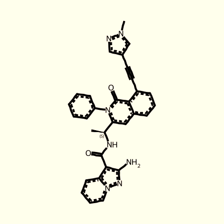 C[C@H](NC(=O)c1c(N)nn2ccccc12)c1cc2cccc(C#Cc3cnn(C)c3)c2c(=O)n1-c1ccccc1